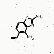 C=Cc1ccc2sc(N)nc2c1N